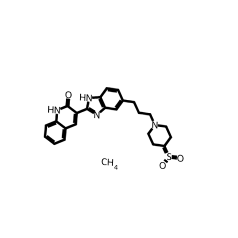 C.O=c1[nH]c2ccccc2cc1-c1nc2cc(CCCN3CCC(=S(=O)=O)CC3)ccc2[nH]1